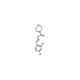 O=C(O/N=C/c1ccc(F)cc1F)N1CCOCC1